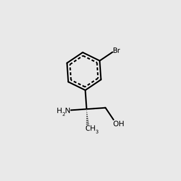 C[C@@](N)(CO)c1cccc(Br)c1